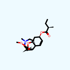 CC[C@@H](C)C(=O)O[C@H]1C=C[C@@]23CCN(C)Cc4ccc(OC)c(c42)OC3C1